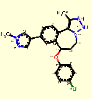 CC1=C2c3ccc(-c4cnn(C)c4)cc3C(Oc3ccc(Cl)cc3)CCN2NN1